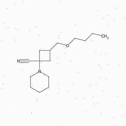 CCCCOCC1CC(C#N)(N2CCCCC2)C1